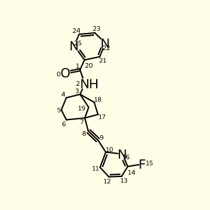 O=C(NC12CCCC(C#Cc3cccc(F)n3)(CC1)C2)c1cnccn1